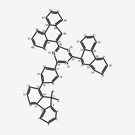 CC1(C)c2ccccc2-c2cccc(-c3ccc(-c4nc(-c5cc6ccccc6c6ccccc56)nc(-c5cc6ccccc6c6ccccc56)n4)cc3)c21